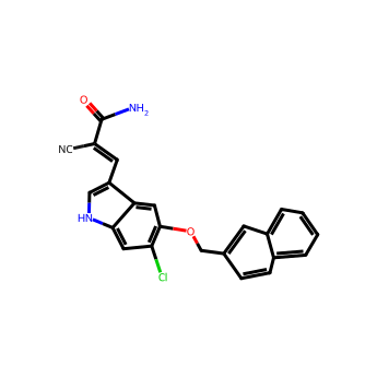 N#C/C(=C\c1c[nH]c2cc(Cl)c(OCc3ccc4ccccc4c3)cc12)C(N)=O